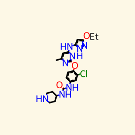 CCOc1cc(Nc2cc(C)nc(Oc3ccc(NC(=O)NC4CCNCC4)cc3Cl)n2)[nH]n1